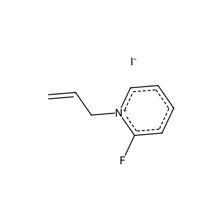 C=CC[n+]1ccccc1F.[I-]